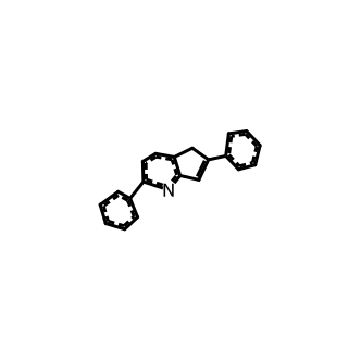 C1=C(c2ccccc2)Cc2ccc(-c3ccccc3)nc21